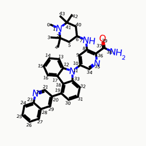 CN1C(C)(C)CC(Nc2cc(-n3c4ccccc4c4c(-c5cnc6ccccc6c5)cccc43)cnc2C(N)=O)CC1(C)C